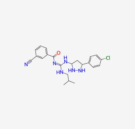 CC(C)CN/C(=N/C(=O)c1cccc(C#N)c1)NC1CC(c2ccc(Cl)cc2)NN1